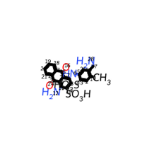 Cc1cc(S(=O)(=O)O)c(Nc2cc(S(=O)(=O)O)c(N)c3c2C(=O)c2ccccc2C3=O)cc1CN